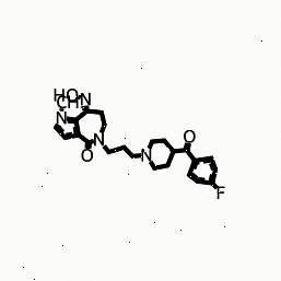 Cn1ccc2c1/C(=N\O)CCN(CCCN1CCC(C(=O)c3ccc(F)cc3)CC1)C2=O